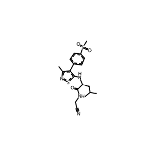 Cc1nsc(N[C@@H](CC(C)C)C(=O)NCC#N)c1-c1ccc(S(C)(=O)=O)cc1